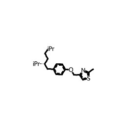 Cc1nc(COc2ccc(C[C@@H](CCC(C)C)C(C)C)cc2)cs1